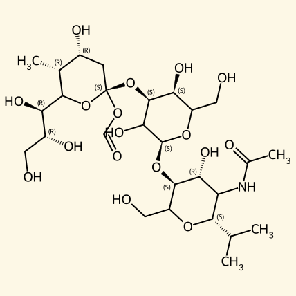 CC(=O)NC1[C@H](C(C)C)OC(CO)[C@@H](O[C@@H]2OC(CO)[C@H](O)[C@H](O[C@]3(OC=O)C[C@@H](O)[C@@H](C)C([C@H](O)[C@H](O)CO)O3)C2O)[C@@H]1O